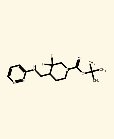 CC(C)(C)OC(=O)N1CCC(CNc2cccnn2)C(F)(F)C1